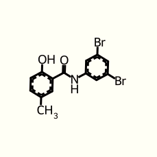 Cc1ccc(O)c(C(=O)Nc2cc(Br)cc(Br)c2)c1